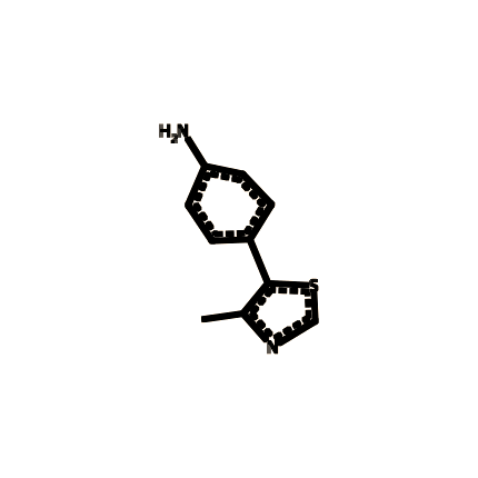 Cc1ncsc1-c1ccc(N)cc1